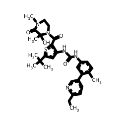 CCc1ccc(-c2cc(NC(=O)Nc3cc(C(C)(C)C)sc3C(=O)N3CCN(C)C(=O)C3(C)C)ccc2C)cn1